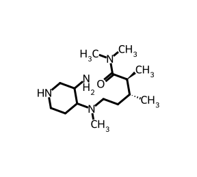 C[C@H](CCN(C)C1CCNCC1N)[C@H](C)C(=O)N(C)C